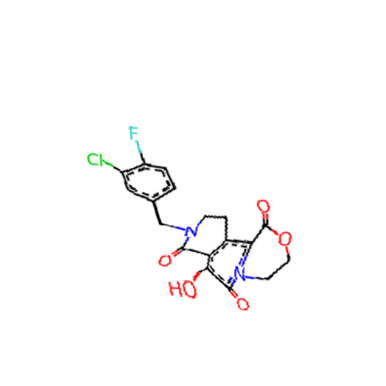 O=C1OCCn2c1c1c(c(O)c2=O)C(=O)N(Cc2ccc(F)c(Cl)c2)CC1